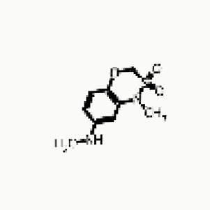 CNc1ccc2c(c1)N(C)S(=O)(=O)CO2